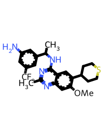 COc1cc2nc(C)nc(NC(C)c3cc(N)cc(C(F)(F)F)c3)c2cc1C1CCSCC1